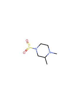 CC1CN([SH](=O)=O)CCN1C